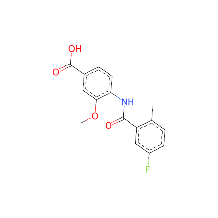 COc1cc(C(=O)O)ccc1NC(=O)c1cc(F)ccc1C